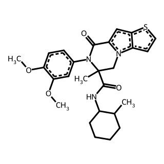 COc1ccc(N2C(=O)c3cc4sccc4n3CC2(C)C(=O)NC2CCCCC2C)cc1OC